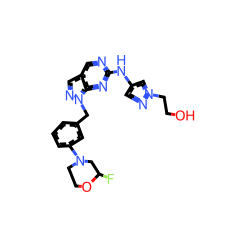 OCCn1cc(Nc2ncc3cnn(Cc4cccc(N5CCOC(F)C5)c4)c3n2)cn1